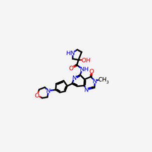 Cn1cnc2cc(-c3ccc(N4CCOCC4)cc3)nc(NC(=O)C3(O)CCNC3)c2c1=O